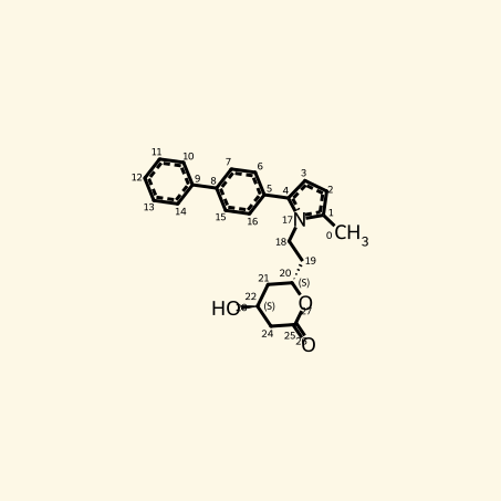 Cc1ccc(-c2ccc(-c3ccccc3)cc2)n1CC[C@H]1C[C@H](O)CC(=O)O1